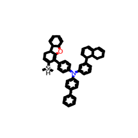 C[SiH](C)C1=CCC2C(=C1c1ccc(N(c3ccc(-c4ccccc4)cc3)c3cccc(C4C=CC=C5C=CCCC54)c3)cc1)OC1C=CC=CC12